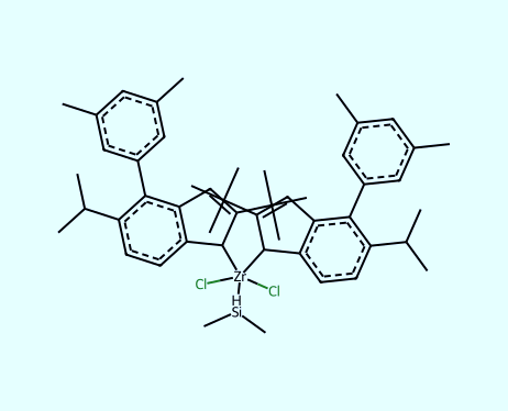 Cc1cc(C)cc(-c2c(C(C)C)ccc3c2C=C(C(C)(C)C)[CH]3[Zr]([Cl])([Cl])([CH]2C(C(C)(C)C)=Cc3c2ccc(C(C)C)c3-c2cc(C)cc(C)c2)[SiH](C)C)c1